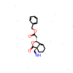 N=C[C@]12CCCC=C1[C@@H](CC(=O)OCc1ccccc1)OC2=O